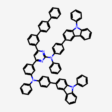 c1ccc(-c2ccc(-c3cccc(-c4cc(-c5cccc(N(c6ccccc6)c6ccc(-c7ccc8c(c7)c7ccccc7n8-c7ccccc7)cc6)c5)nc(N(c5ccccc5)c5ccc(-c6ccc7c(c6)c6ccccc6n7-c6ccccc6)cc5)n4)c3)cc2)cc1